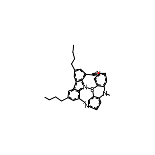 CCCCc1cc(C#N)c2c(c1)c1cc(CCCC)cc(C#N)c1n2B1c2ccccc2N(C)c2ccccc21